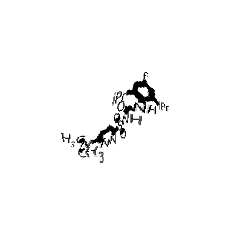 CC(C)c1cc(F)cc(C(C)C)c1NC(=O)NS(=O)(=O)c1ccc(N(C)C)nn1